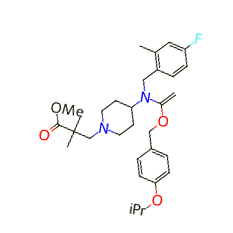 C=C(OCc1ccc(OC(C)C)cc1)N(Cc1ccc(F)cc1C)C1CCN(CC(C)(C)C(=O)OC)CC1